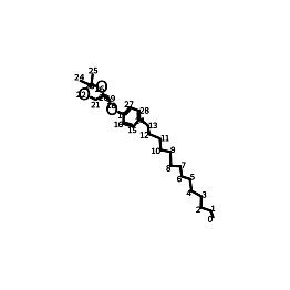 CCCCCCCCCCCCCCc1ccc(OCC2COC(C)(C)O2)cc1